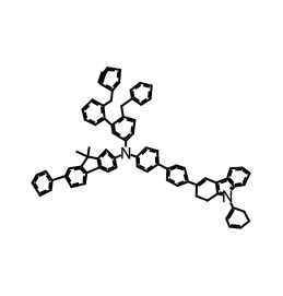 CC1(C)c2cc(-c3ccccc3)ccc2-c2ccc(N(c3ccc(-c4ccc(C5=Cc6c(n(C7=CC=CCC7)c7ccccc67)CC5)cc4)cc3)c3ccc(Cc4ccccc4)c(-c4ccccc4Cc4c#cccc4)c3)cc21